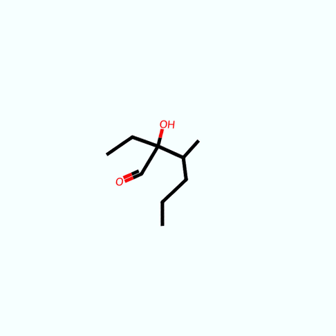 CCCC(C)C(O)(C=O)CC